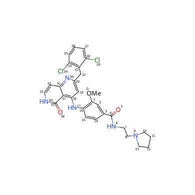 COc1cc(C(=O)NCCN2CCCC2)ccc1Nc1cc(Cc2c(Cl)cccc2Cl)nc2cc[nH]c(=O)c12